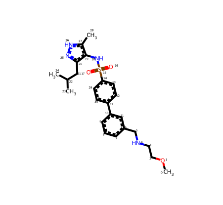 COCCNCc1cccc(-c2ccc(S(=O)(=O)Nc3c(CC(C)C)n[nH]c3C)cc2)c1